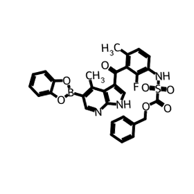 Cc1ccc(NS(=O)(=O)C(=O)OCc2ccccc2)c(F)c1C(=O)c1c[nH]c2ncc(B3Oc4ccccc4O3)c(C)c12